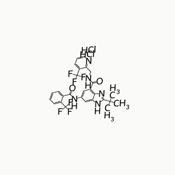 CC(C)(C)c1nc2c(C(=O)NCc3ncccc3C(F)(F)F)cc(NC(=O)c3ccccc3C(F)(F)F)cc2[nH]1.Cl.Cl